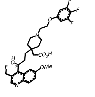 COc1ccc2ncc(CF)c([C@@H](O)CCC3(CC(=O)O)CCN(CCOc4cc(F)c(F)c(F)c4)CC3)c2c1